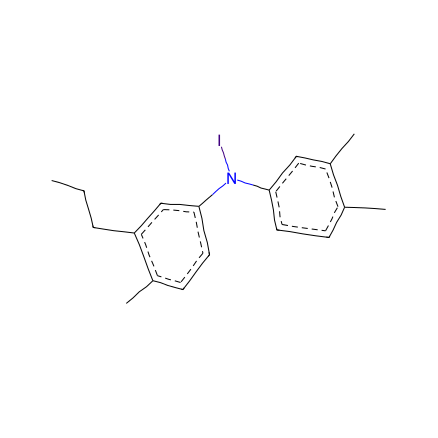 CCCc1cc(N(I)c2ccc(C)c(C)c2)ccc1C